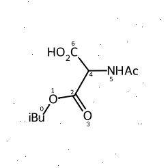 CCC(C)OC(=O)C(NC(C)=O)C(=O)O